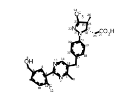 Cc1nc(-c2cc(CO)ccc2F)ncc1Cc1ccc(N2N=C(C(F)(F)F)[C@@H](C)[C@@H]2CC(=O)O)cc1